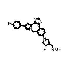 CNCC1CN(c2ccc3c(c2)Cn2cc(-c4ccc(F)cc4)cc2-c2ncnn2-3)C[C@H]1F